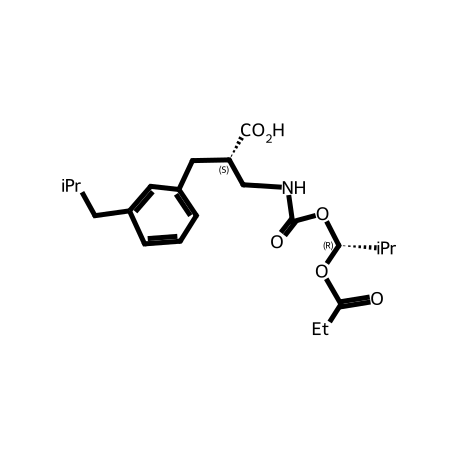 CCC(=O)O[C@H](OC(=O)NC[C@H](Cc1cccc(CC(C)C)c1)C(=O)O)C(C)C